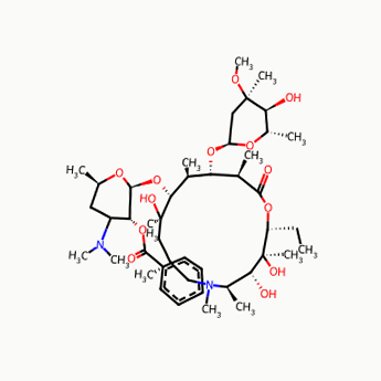 CC[C@H]1OC(=O)[C@H](C)[C@@H](O[C@H]2C[C@@](C)(OC)[C@@H](O)[C@H](C)O2)[C@H](C)[C@@H](O[C@@H]2O[C@H](C)CC(N(C)C)[C@H]2OC(=O)c2ccccc2)[C@](C)(O)C[C@@H](C)CN(C)[C@H](C)[C@@H](O)[C@]1(C)O